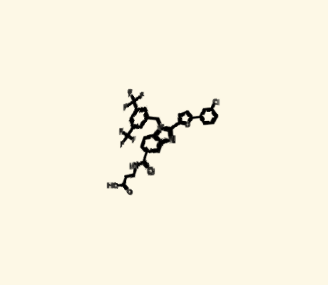 O=C(O)CCNC(=O)c1ccc2c(c1)nc(-c1ccc(-c3cccc(Cl)c3)o1)n2Cc1cc(C(F)(F)F)cc(C(F)(F)F)c1